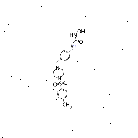 Cc1ccc(S(=O)(=O)N2CCN(Cc3ccc(/C=C/C(=O)NO)cc3)CC2)cc1